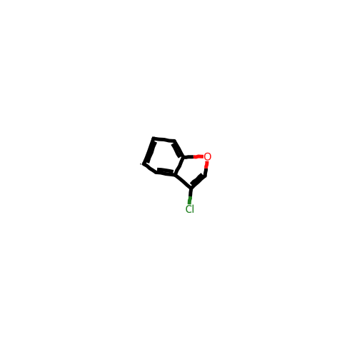 Clc1coc2cc[c]cc12